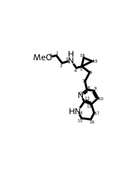 COCCNCC1(CCc2ccc3c(n2)NCCC3)CC1